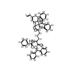 C=CC1=CN2C(=O)C(NC(=O)CCCC(NC(=O)c3ccccc3)C(=O)OC(c3ccccc3)c3ccccc3)(C(c3ccccc3)c3ccccc3)[C@@H]2SC1